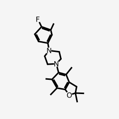 Cc1cc(N2CCN(c3c(C)c(C)c4c(c3C)CC(C)(C)O4)CC2)ccc1F